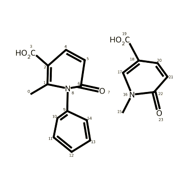 Cc1c(C(=O)O)ccc(=O)n1-c1ccccc1.Cn1cc(C(=O)O)ccc1=O